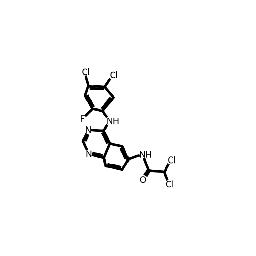 O=C(Nc1ccc2ncnc(Nc3cc(Cl)c(Cl)cc3F)c2c1)C(Cl)Cl